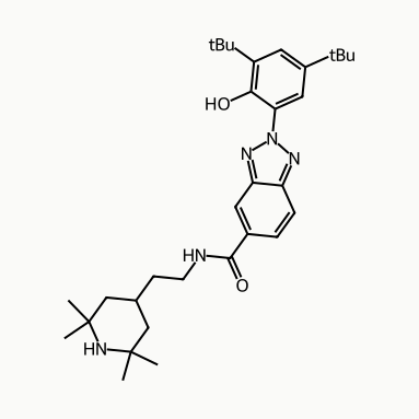 CC1(C)CC(CCNC(=O)c2ccc3nn(-c4cc(C(C)(C)C)cc(C(C)(C)C)c4O)nc3c2)CC(C)(C)N1